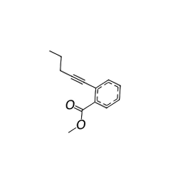 CCCC#Cc1ccccc1C(=O)OC